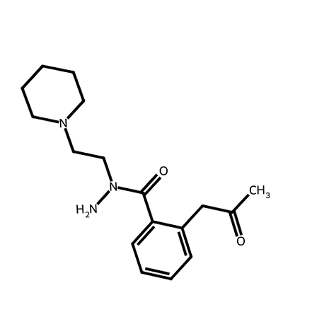 CC(=O)Cc1ccccc1C(=O)N(N)CCN1CCCCC1